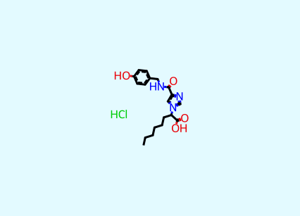 CCCCCCC(C(=O)O)n1cnc(C(=O)NCc2ccc(O)cc2)c1.Cl